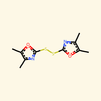 Cc1nc(SSc2nc(C)c(C)o2)oc1C